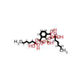 CCCCCC(O)(O)OC(=O)c1cccc(C(=O)OC(O)(O)CCCCC)c1S(=O)(=O)O